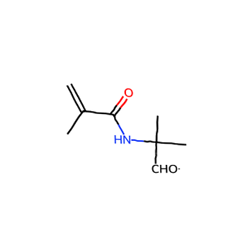 C=C(C)C(=O)NC(C)(C)[C]=O